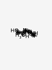 COc1cc2c(Nc3ccn(CC(=O)Nc4cccc(F)c4F)n3)ncnc2cc1OCCCN1CCC[C@@H]1CO